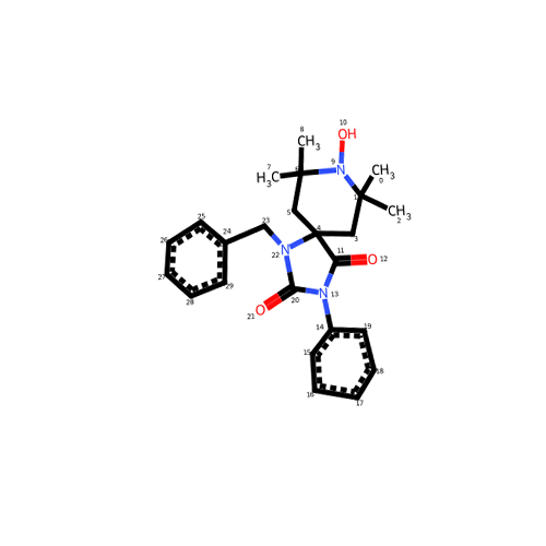 CC1(C)CC2(CC(C)(C)N1O)C(=O)N(c1ccccc1)C(=O)N2Cc1ccccc1